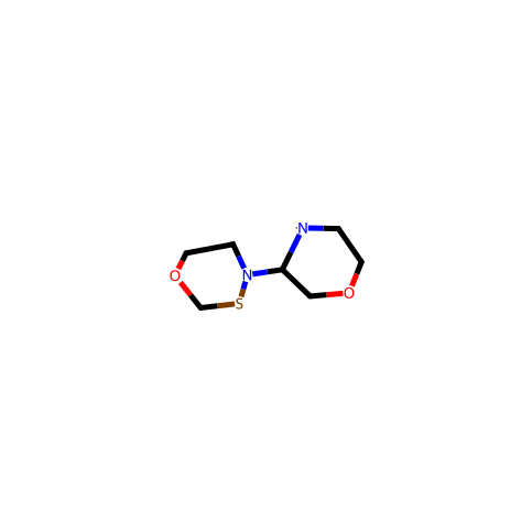 C1COCC(N2CCOCS2)[N]1